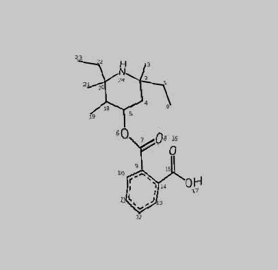 CCC1(C)CC(OC(=O)c2ccccc2C(=O)O)C(C)C(C)(CC)N1